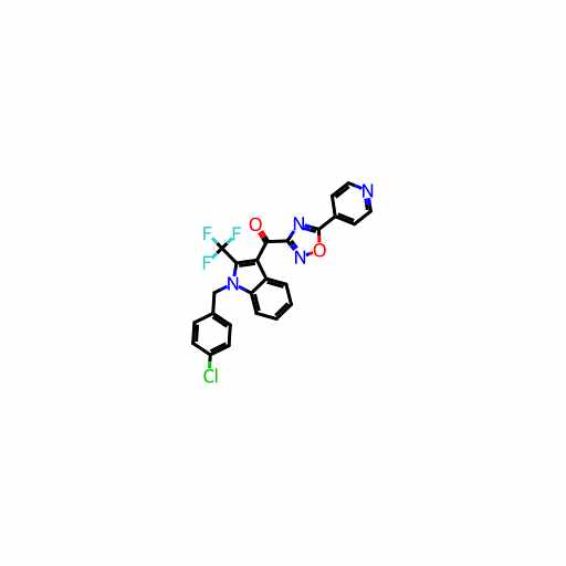 O=C(c1noc(-c2ccncc2)n1)c1c(C(F)(F)F)n(Cc2ccc(Cl)cc2)c2ccccc12